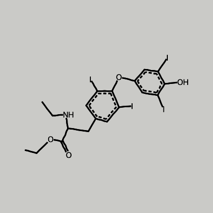 CCNC(Cc1cc(I)c(Oc2cc(I)c(O)c(I)c2)c(I)c1)C(=O)OCC